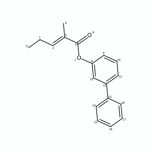 CCC=C(C)C(=O)Oc1cccc(-c2ccccc2)c1